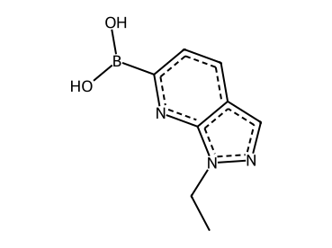 CCn1ncc2ccc(B(O)O)nc21